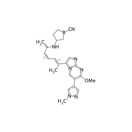 C=C(/C=C\C=C(/C)c1cnc2nc(OC)c(-c3cnn(C)c3)cn12)NC1CCB(C#N)C1